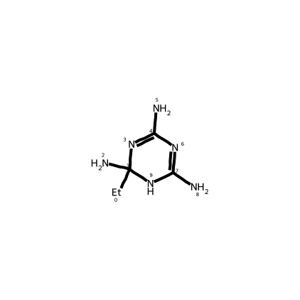 CCC1(N)N=C(N)N=C(N)N1